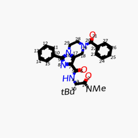 CNC(=O)[C@@H](NC(=O)c1nc(-c2ccccc2)n2c1CN(C(=O)c1ccccc1)CC2)C(C)(C)C